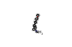 N/N=C/c1cccc2c1oc1cc(-c3ccc(C4=CC=C(c5ccccc5)CC4)cc3)ccc12